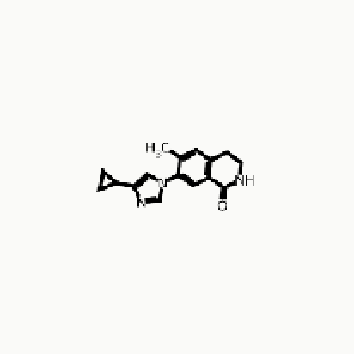 Cc1cc2c(cc1-n1cnc(C3CC3)c1)C(=O)NCC2